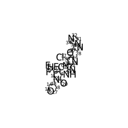 Cn1c(Nc2cc(C(F)(F)F)cn(C3CCOCC3)c2=O)nc2ncc(Oc3cnn4ccncc34)c(Cl)c21